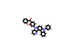 O=c1c2ccccc2oc2cc(-n3c4cccnc4c4c5c6ccccc6n(-c6ccccc6)c5ccc43)ccc12